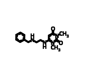 Cn1c(NCCNCc2ccccc2)cc(=O)n(C)c1=O